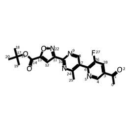 CC(=O)c1cnc(-c2cnc(-c3cc(C(=O)OC(C)(C)C)on3)nc2C)c(F)c1